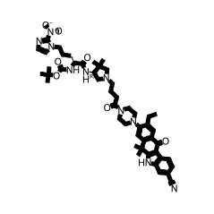 CCc1cc2c(cc1N1CCN(C(=O)CCCN3C[C@H](NC(=O)[C@@H](CCCn4ccnc4[N+](=O)[O-])NC(=O)OC(C)(C)C)C(C)(C)C3)CC1)C(C)(C)c1[nH]c3cc(C#N)ccc3c1C2=O